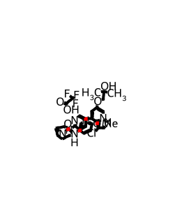 COc1ccc(NC(=O)N2C3CC2CN(c2ccc(-c4cc(OCC(C)(C)O)cn5ncc(Cl)c45)cn2)C3)cn1.O=C(O)C(F)(F)F